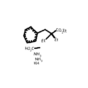 CC(=O)O.CCOC(=O)C(CC)(CC)Cc1ccccc1.N.N.[KH]